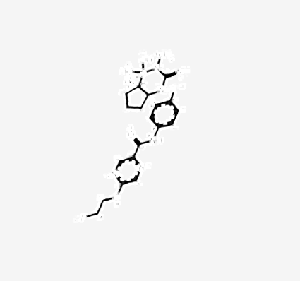 CN1C(=N)N[C@@]2(c3cc(NC(=O)c4cnc(OCCF)cn4)ccc3F)CCC[C@H]2S1(O)O